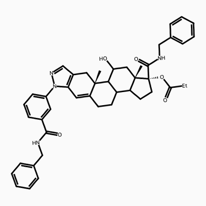 CCC(=O)O[C@]1(C(=O)NCc2ccccc2)CCC2C3CCC4=Cc5c(cnn5-c5cccc(C(=O)NCc6ccccc6)c5)C[C@]4(C)C3C(O)C[C@@]21C